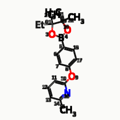 CCC1(C)OB(c2ccc(Oc3cccc(C)n3)cc2)OC1(C)C